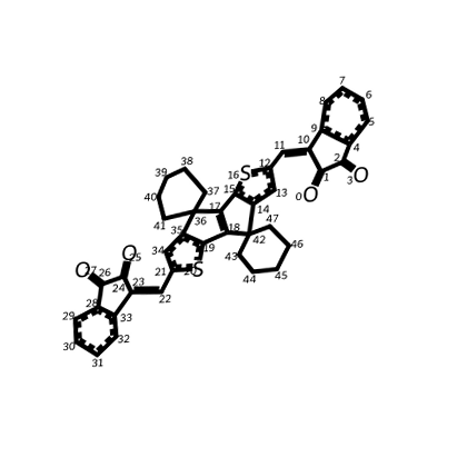 O=C1C(=O)c2ccccc2/C1=C/c1cc2c(s1)C1=C(c3sc(/C=C4\C(=O)C(=O)c5ccccc54)cc3C13CCCCC3)C21CCCCC1